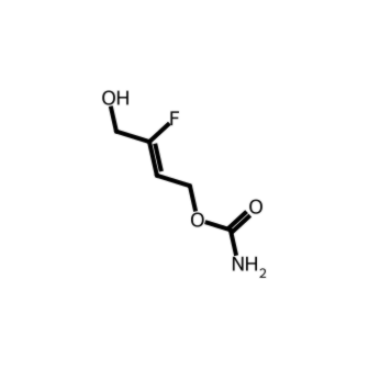 NC(=O)OCC=C(F)CO